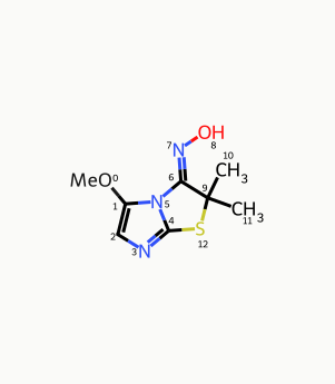 COc1cnc2n1C(=NO)C(C)(C)S2